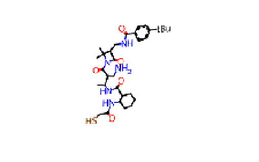 CC(NC(=O)C1CCCCC1NC(=O)CS)C(CN)C(=O)N1C(=O)C(CNC(=O)c2ccc(C(C)(C)C)cc2)C1(C)C